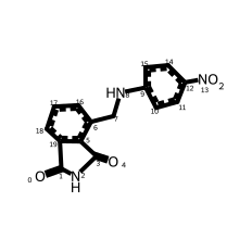 O=C1NC(=O)c2c(CNc3ccc([N+](=O)[O-])cc3)cccc21